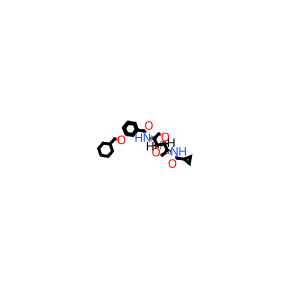 O=C(N[C@H]1CO[C@H]2[C@@H]1OC[C@@H]2NC(=O)C1CC1)c1cccc(OCC2CCCCC2)c1